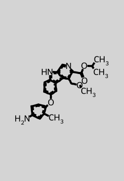 COCc1c(C(=O)OC(C)C)ncc2[nH]c3ccc(Oc4ccc(N)cc4C)cc3c12